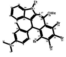 CCn1c(C)c(C(c2ccc(N(C)C)cc2C)c2c(Br)c(Br)c(Br)c(Br)c2C(=O)OC)c2ccccc21